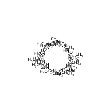 C=C1C(=O)N(C)[C@@H](CC(C)(C)O)C(=O)N[C@H](C(C)C)C(=O)N(C)[C@H](CCC(C)C)C(=O)N[C@H](C)C(=O)N[C@@H](C)C(=O)N(C)[C@@H](C=C(C)C)C(=O)N(C)[C@@H](CC(C)C)C(=O)N(C)[C@H](C(C)C)C(=O)N(C)[C@@H]([C@H](O)[C@H](C)C/C=C/C)C(=O)N[C@H](CC)C(=O)N1C